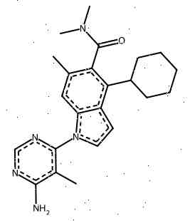 Cc1cc2c(ccn2-c2ncnc(N)c2C)c(C2CCCCC2)c1C(=O)N(C)C